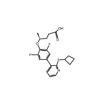 C[C@@H](CCC(=O)O)Oc1c(F)cc(-c2cccnc2SC2CCC2)cc1F